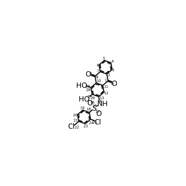 O=C1c2ccccc2C(=O)c2c1cc(NS(=O)(=O)c1ccc(Cl)cc1Cl)c(O)c2O